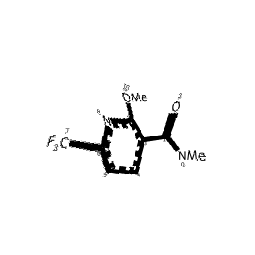 CNC(=O)c1ccc(C(F)(F)F)nc1OC